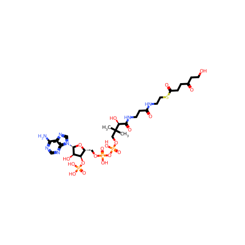 CC(C)(COP(=O)(O)OP(=O)(O)OC[C@H]1O[C@@H](n2cnc3c(N)ncnc32)[C@H](O)[C@@H]1OP(=O)(O)O)[C@@H](O)C(=O)NCCC(=O)NCCSC(=O)CCC(=O)CCO